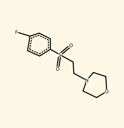 O=S(=O)(CCN1CCOCC1)c1ccc(F)cc1